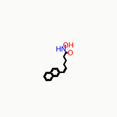 O=C(CCC/C=C\c1ccc2ccccc2c1)NO